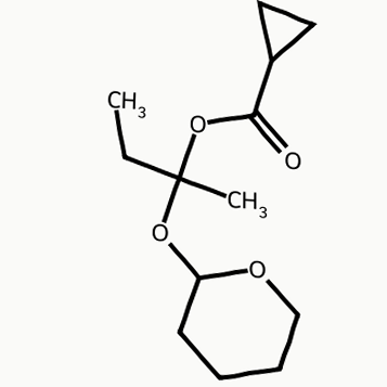 CCC(C)(OC(=O)C1CC1)OC1CCCCO1